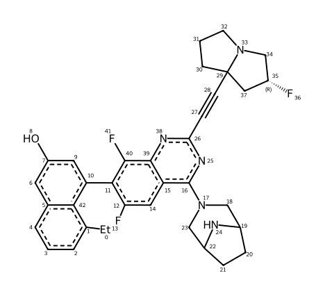 CCc1cccc2cc(O)cc(-c3c(F)cc4c(N5CC6CCC(C5)N6)nc(C#CC56CCCN5C[C@H](F)C6)nc4c3F)c12